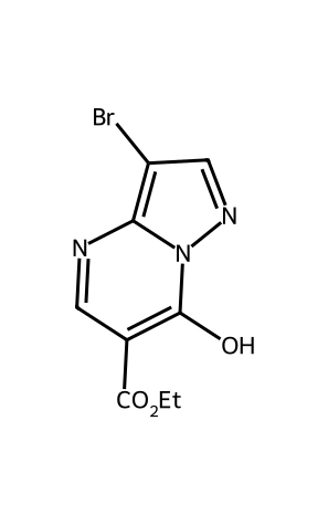 CCOC(=O)c1cnc2c(Br)cnn2c1O